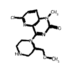 COCC1CNCCN1c1nc(=O)n(C)c2ccc(Cl)nc12